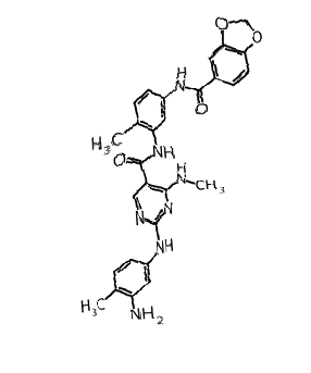 CNc1nc(Nc2ccc(C)c(N)c2)ncc1C(=O)Nc1cc(NC(=O)c2ccc3c(c2)OCO3)ccc1C